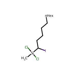 CCCCCCCCCCC(I)[Si](C)(Cl)Cl